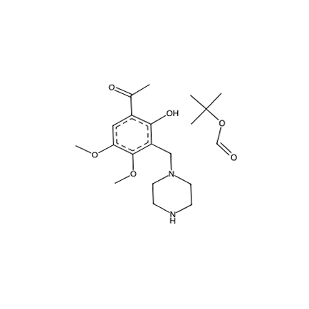 CC(C)(C)OC=O.COc1cc(C(C)=O)c(O)c(CN2CCNCC2)c1OC